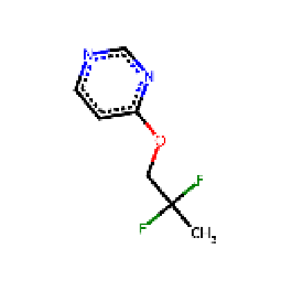 CC(F)(F)COc1ccncn1